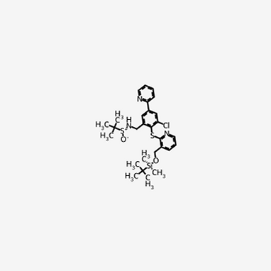 CC(C)(C)[S+]([O-])NCc1cc(-c2ccccn2)cc(Cl)c1Sc1ncccc1CO[Si](C)(C)C(C)(C)C